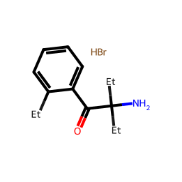 Br.CCc1ccccc1C(=O)C(N)(CC)CC